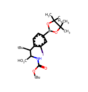 CC(C)(C)OC(=O)NC(C(=O)O)C(c1ccc(B2OC(C)(C)C(C)(C)O2)cc1I)C(C)(C)C